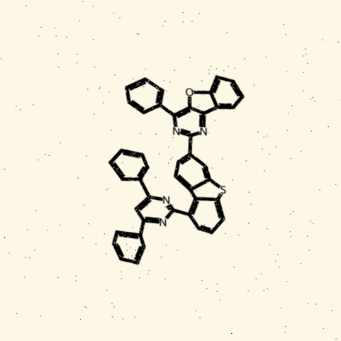 c1ccc(-c2cc(-c3ccccc3)nc(-c3cccc4sc5cc(-c6nc(-c7ccccc7)c7oc8ccccc8c7n6)ccc5c34)n2)cc1